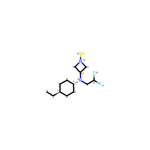 CC[C@H]1CC[C@H](N(CC(F)F)C2CN(S)C2)CC1